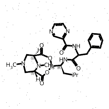 CC(C)C[C@H](NC(=O)C(Cc1ccccc1)NC(=O)c1cnccn1)B1OC(=O)[C@@H]2CN(C)C[C@@H](C(=O)O1)N2C